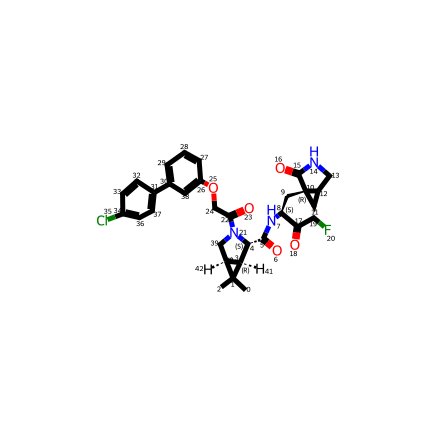 CC1(C)[C@@H]2[C@@H](C(=O)N[C@@H](C[C@]34CC3CNC4=O)C(=O)CF)N(C(=O)COc3cccc(-c4ccc(Cl)cc4)c3)C[C@@H]21